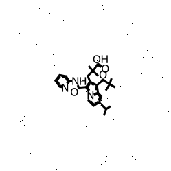 CC(C)c1ccn2c(C(=O)Nc3ccccn3)c(CC(C)(C)C(=O)O)c(C(=O)C(C)(C)C)c2c1